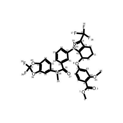 COC(=O)c1ccc(OC2CCCc3c(C(F)(F)F)nn(-c4cccc(C(=O)N(C)c5ccc6c(c5)OC(F)(F)O6)c4)c32)cc1OC